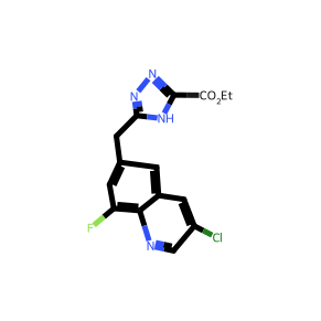 CCOC(=O)c1nnc(Cc2cc(F)c3ncc(Cl)cc3c2)[nH]1